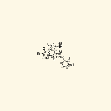 CCN[C@@H]1C[C@H](C)n2c(C(=O)N(C)CC)c(O)c(=O)c(C(=O)NCc3cccc(Cl)c3F)c21